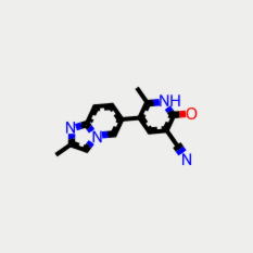 Cc1cn2cc(-c3cc(C#N)c(=O)[nH]c3C)ccc2n1